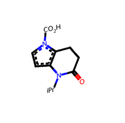 CC(C)N1C(=O)CCc2c1ccn2C(=O)O